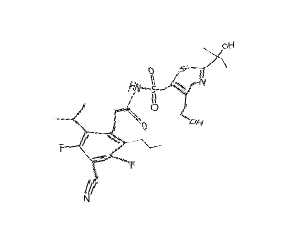 CCCc1c(F)c(C#N)c(F)c(C(C)C)c1CC(=O)NS(=O)(=O)c1sc(C(C)(C)O)nc1CO